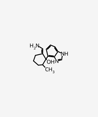 CC1CCC/C(=C\N)C1(O)c1cccc2[nH]cnc12